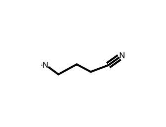 [N]CCCC#N